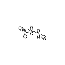 O=C(CCC(=O)NC1CCC(Cc2ccccc2)(N2CCOCC2)CC1)NCc1ccncc1